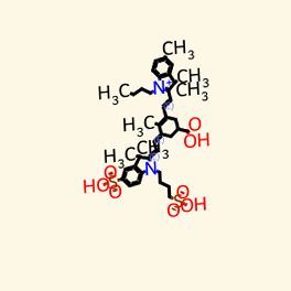 CCCC[N+]1=C(/C=C/C2=C(C)C(=C/C=C3/N(CCCCS(=O)(=O)O)c4ccc(S(=O)(=O)O)cc4C3(C)C)/CC(C(=O)O)C2)C(C)(C)c2cc(C)ccc21